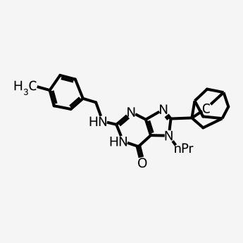 CCCn1c(C23CC4CC(CC2C4)C3)nc2nc(NCc3ccc(C)cc3)[nH]c(=O)c21